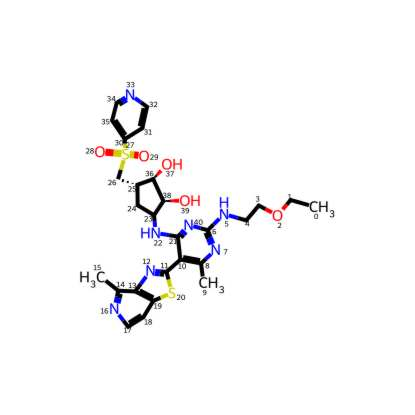 CCOCCNc1nc(C)c(-c2nc3c(C)nccc3s2)c(NC2C[C@H](CS(=O)(=O)c3ccncc3)[C@@H](O)[C@H]2O)n1